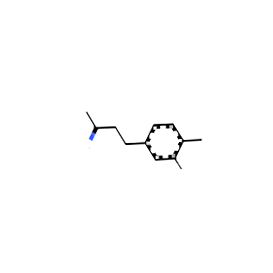 CC(=N)CCc1ccc(C)c(C=O)c1